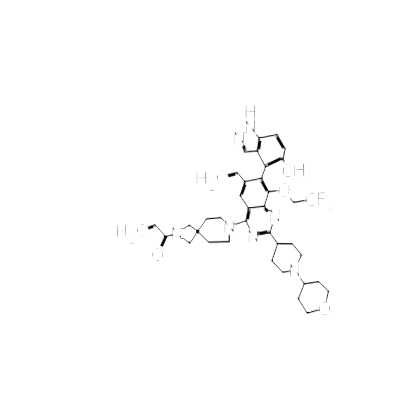 C=CC(=O)N1CC2(CCN(c3nc(C4CCN(C5CCOCC5)CC4)nc4c(OCC(F)(F)F)c(-c5c(C)ccc6[nH]ncc56)c(C=C)cc34)CC2)C1